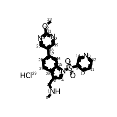 CNCc1cn(S(=O)(=O)c2cccnc2)c2cc(-c3cnc(OC)nc3)ccc12.Cl